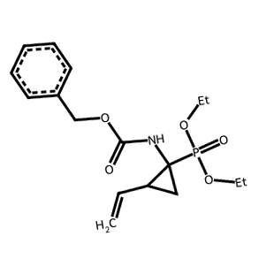 C=CC1CC1(NC(=O)OCc1ccccc1)P(=O)(OCC)OCC